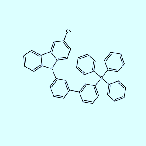 N#Cc1ccc2c(c1)c1ccccc1n2-c1cccc(-c2cccc([Si](c3ccccc3)(c3ccccc3)c3ccccc3)c2)c1